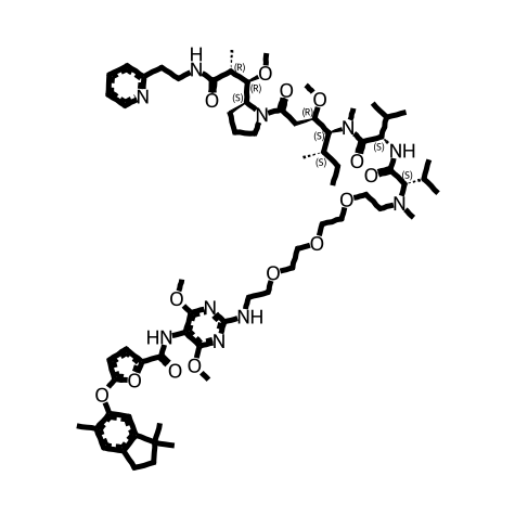 CC[C@H](C)[C@@H]([C@@H](CC(=O)N1CCC[C@H]1[C@H](OC)[C@@H](C)C(=O)NCCc1ccccn1)OC)N(C)C(=O)[C@@H](NC(=O)[C@H](C(C)C)N(C)CCOCCOCCOCCNc1nc(OC)c(NC(=O)c2ccc(Oc3cc4c(cc3C)CCC4(C)C)o2)c(OC)n1)C(C)C